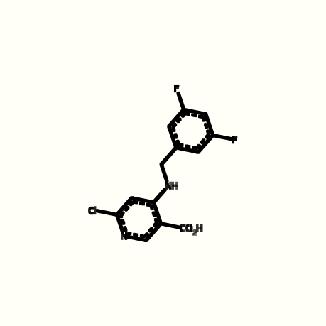 O=C(O)c1cnc(Cl)cc1NCc1cc(F)cc(F)c1